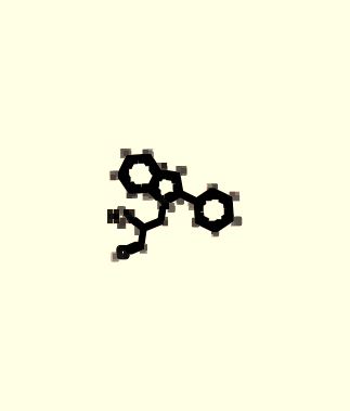 NC(C=O)Cn1c(-c2ccccc2)cc2ccccc21